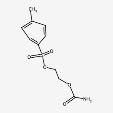 Cc1ccc(S(=O)(=O)OCCOC(N)=O)cc1